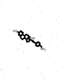 CC12CCC3c4ccc(O)cc4CCC3C1CCC2(O)C#Cc1ccc(CN)cc1